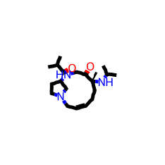 CC(C)N[C@]1(C)CCC=CCN2CC[C@](C(=O)C(C)C)(C2)NCC1=O